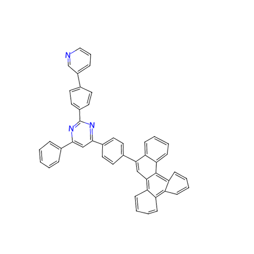 c1ccc(-c2cc(-c3ccc(-c4cc5c6ccccc6c6ccccc6c5c5ccccc45)cc3)nc(-c3ccc(-c4cccnc4)cc3)n2)cc1